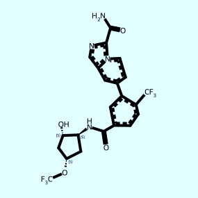 NC(=O)c1ncc2cc(-c3cc(C(=O)N[C@H]4C[C@H](OC(F)(F)F)C[C@@H]4O)ccc3C(F)(F)F)ccn12